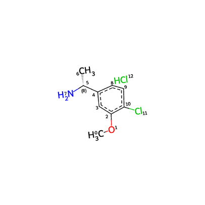 COc1cc([C@@H](C)N)ccc1Cl.Cl